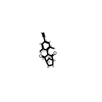 C#Cc1cc(C)c(C2C(=O)C3CCC(C3)C2=O)c(C)c1